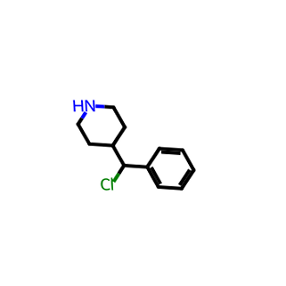 ClC(c1ccccc1)C1CCNCC1